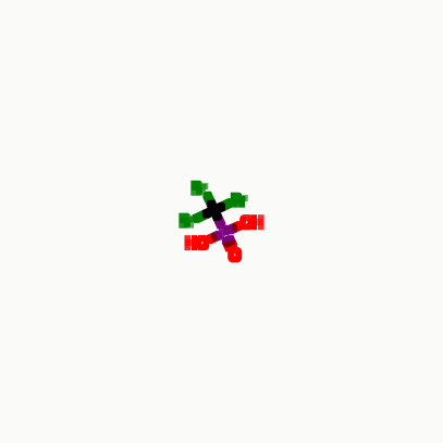 O=P(O)(O)C(Br)(Br)Br